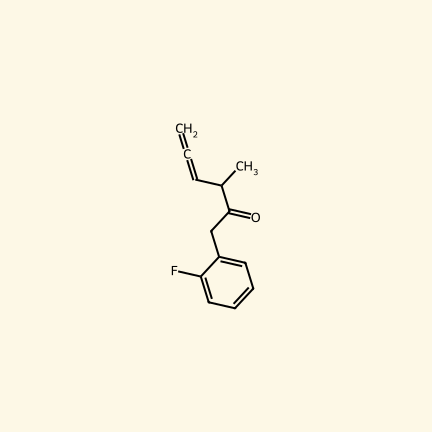 C=C=CC(C)C(=O)Cc1ccccc1F